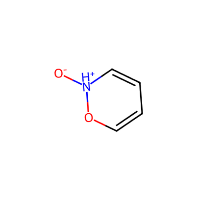 [O-][NH+]1C=CC=CO1